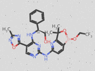 Cc1noc(-c2cnc(Nc3ccc4c(n3)C(C)(C)OB4OCC(F)(F)F)nc2N[C@H](CO)c2ccccc2)n1